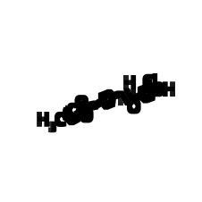 Cc1ccc(S(=O)(=O)C#Cc2ccc(/C=N/NC(=O)c3ccc(O)c(Cl)c3)cc2)cc1